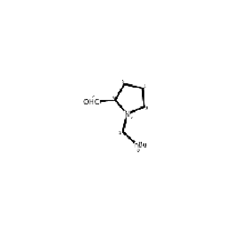 CCCCCN1CCC[C@@H]1C=O